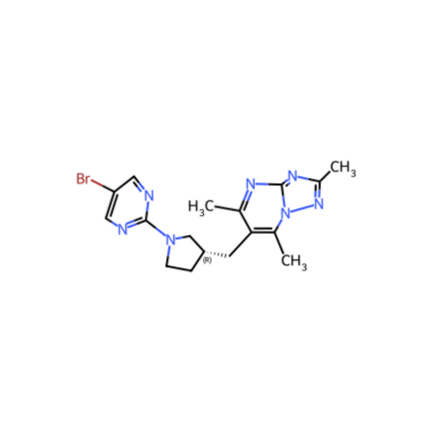 Cc1nc2nc(C)c(C[C@@H]3CCN(c4ncc(Br)cn4)C3)c(C)n2n1